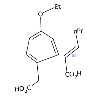 CCC/C=C/C(=O)O.CCOc1ccc(CC(=O)O)cc1